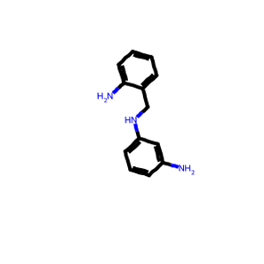 Nc1cccc(NCc2ccccc2N)c1